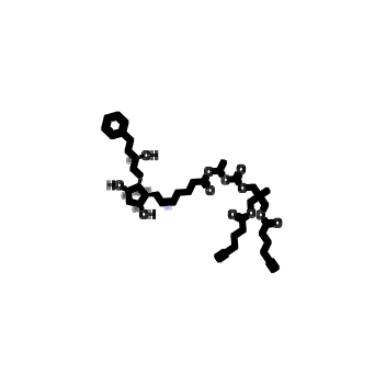 C#CCCCC(=O)OCC(C)(COC(=O)CCCC#C)COC(=O)OC(C)OC(=O)CCC/C=C\C[C@@H]1[C@@H](CC[C@@H](O)CCc2ccccc2)[C@H](O)C[C@@H]1O